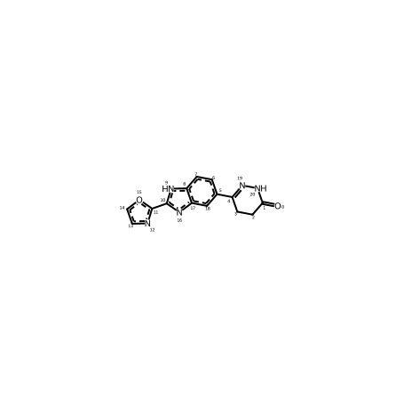 O=C1CCC(c2ccc3[nH]c(-c4ncco4)nc3c2)=NN1